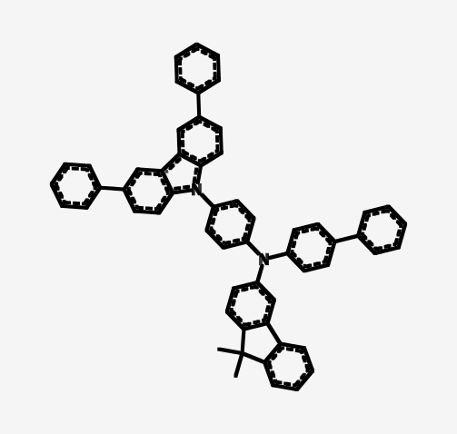 CC1(C)c2ccccc2-c2cc(N(c3ccc(-c4ccccc4)cc3)c3ccc(-n4c5ccc(-c6ccccc6)cc5c5cc(-c6ccccc6)ccc54)cc3)ccc21